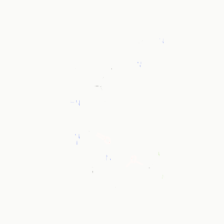 CC(NC(=O)c1cc2c(Cn3ccnc3)cccc2[nH]1)c1cccc(OC(F)(F)F)n1